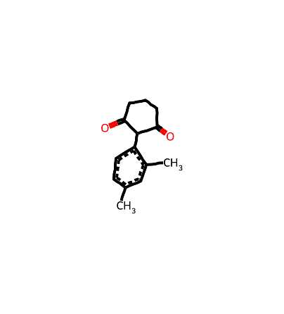 Cc1ccc(C2C(=O)CCCC2=O)c(C)c1